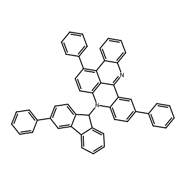 c1ccc(-c2ccc3c(c2)-c2ccccc2C3N2c3ccc(-c4ccccc4)cc3-c3nc4ccccc4c4c(-c5ccccc5)ccc2c34)cc1